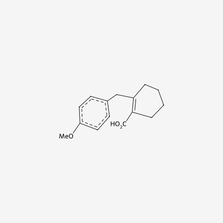 COc1ccc(CC2=C(C(=O)O)CCCC2)cc1